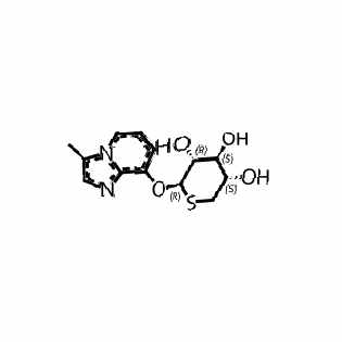 Cc1cnc2c(O[C@@H]3SC[C@@H](O)[C@H](O)[C@H]3O)cccn12